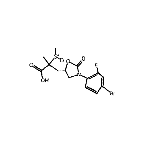 C[S+]([O-])C(C)(C[C@H]1CN(c2ccc(Br)cc2F)C(=O)O1)C(=O)O